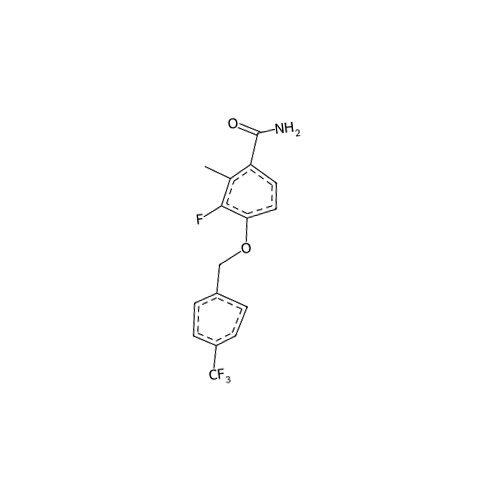 Cc1c(C(N)=O)ccc(OCc2ccc(C(F)(F)F)cc2)c1F